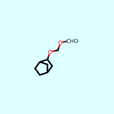 O=[C]OCOC1CC2CCC1C2